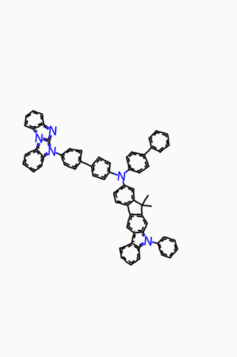 CC1(C)c2cc(N(c3ccc(-c4ccccc4)cc3)c3ccc(-c4ccc(-n5c6ccccc6n6c7ccccc7nc56)cc4)cc3)ccc2-c2cc3c4ccccc4n(-c4ccccc4)c3cc21